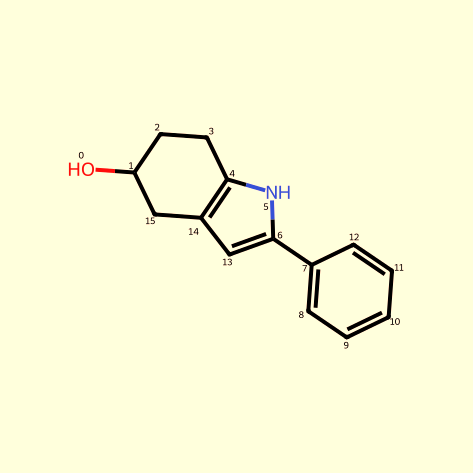 OC1CCc2[nH]c(-c3ccccc3)cc2C1